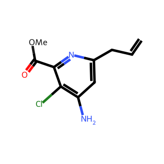 C=CCc1cc(N)c(Cl)c(C(=O)OC)n1